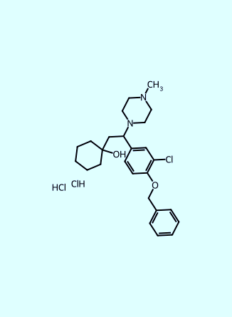 CN1CCN(C(CC2(O)CCCCC2)c2ccc(OCc3ccccc3)c(Cl)c2)CC1.Cl.Cl